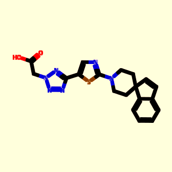 O=C(O)Cn1nnc(-c2cnc(N3CCC4(C=Cc5ccccc54)CC3)s2)n1